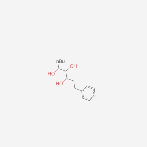 CCCCC(O)C(O)C(O)CCc1ccccc1